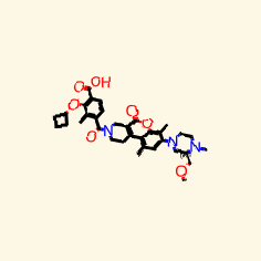 COC[C@H]1CN(c2cc(C)c3c4c(c(=O)oc3c2C)CN(C(=O)c2ccc(C(=O)O)c(OC3CCC3)c2C)CC4)CCN1C